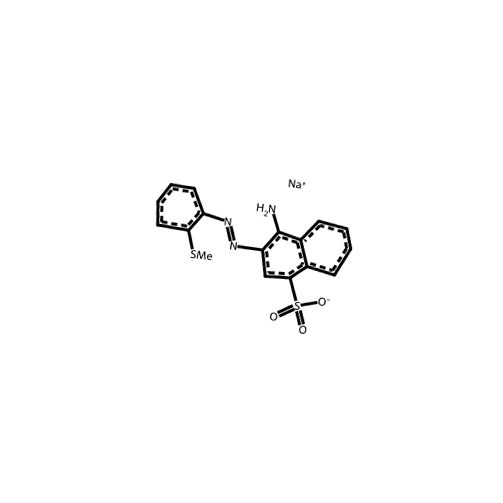 CSc1ccccc1N=Nc1cc(S(=O)(=O)[O-])c2ccccc2c1N.[Na+]